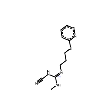 CN/C(=N/CCCSc1cccnn1)NC#N